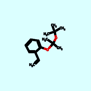 C=Cc1ccccc1OC(C)(C)O[Si](C)(C)C